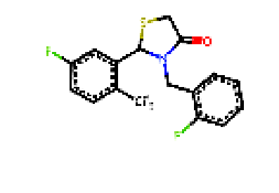 O=C1CSC(c2cc(F)ccc2C(F)(F)F)N1Cc1ccccc1F